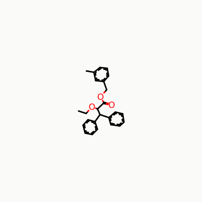 CCOC(C(=O)OCc1cccc(C)c1)C(c1ccccc1)c1ccccc1